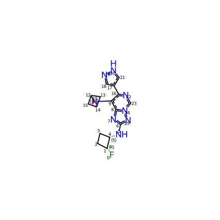 F[C@@H]1CC[C@@H]1Nc1nc2c(N3CC4CC3C4)c(-c3cn[nH]c3)ncn2n1